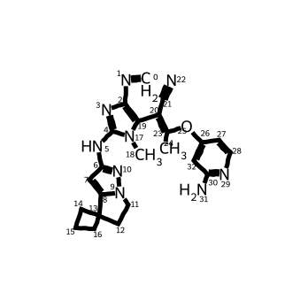 C=Nc1nc(Nc2cc3n(n2)CCC32CCC2)n(C)c1/C(C#N)=C(\C)Oc1ccnc(N)c1